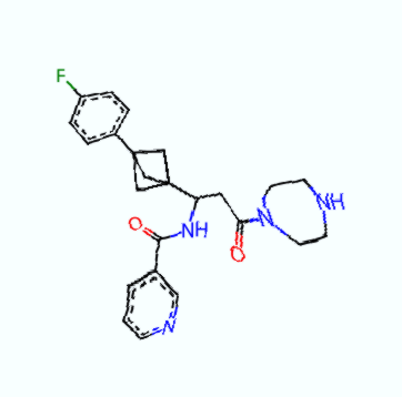 O=C(NC(CC(=O)N1CCNCC1)C12CC(c3ccc(F)cc3)(C1)C2)c1cccnc1